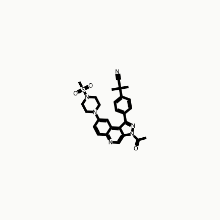 CC(=O)n1nc(-c2ccc(C(C)(C)C#N)cc2)c2c3cc(N4CCN(S(C)(=O)=O)CC4)ccc3ncc21